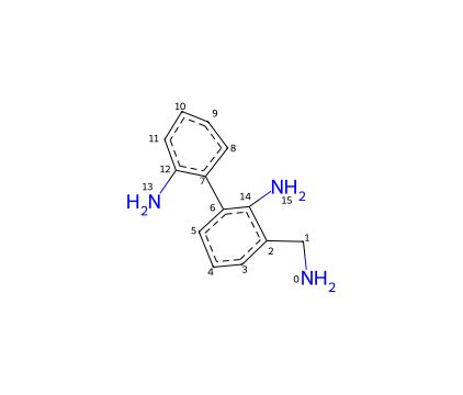 NCc1cccc(-c2ccccc2N)c1N